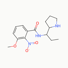 CCC(NC(=O)c1cccc(OC)c1[N+](=O)[O-])C1CCCN1